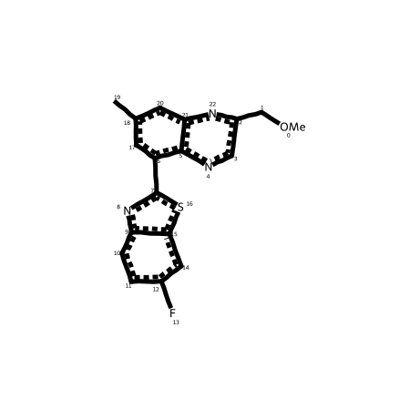 COCc1cnc2c(-c3nc4ccc(F)cc4s3)cc(C)cc2n1